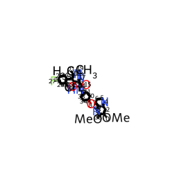 COc1cc2nccc(Oc3ccc(NC(=O)c4nn(C)c(C)c(-c5ccc(F)cc5C)c4=O)cc3)c2nc1OC